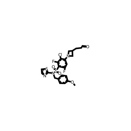 COc1ccc(CN(c2nccs2)S(=O)(=O)c2c(F)cc(N3CC(CCC=O)C3)c(Cl)c2F)cc1